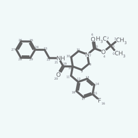 CC(C)(C)OC(=O)N1CCC(Cc2ccc(F)cc2)(C(=O)NCCc2ccccc2)CC1